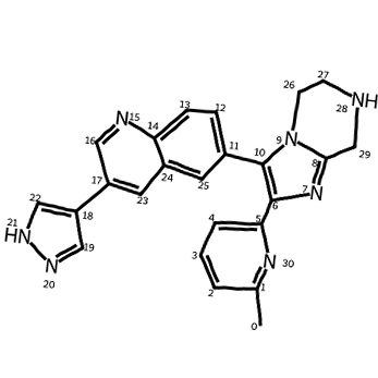 Cc1cccc(-c2nc3n(c2-c2ccc4ncc(-c5cn[nH]c5)cc4c2)CCNC3)n1